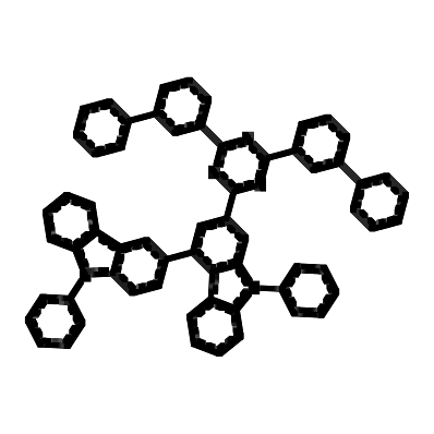 c1ccc(-c2cccc(-c3nc(-c4cccc(-c5ccccc5)c4)nc(-c4cc(-c5ccc6c(c5)c5ccccc5n6-c5ccccc5)c5c6ccccc6n(-c6ccccc6)c5c4)n3)c2)cc1